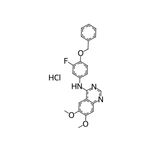 COc1cc2ncnc(Nc3ccc(OCc4ccccc4)c(F)c3)c2cc1OC.Cl